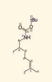 CC(C)=CCCC(C)CNC(=O)OC(C)(C)C